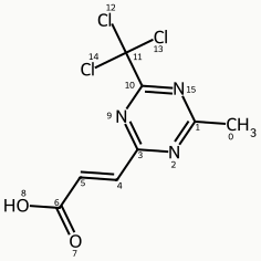 Cc1nc(C=CC(=O)O)nc(C(Cl)(Cl)Cl)n1